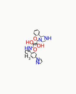 C[C@@H](NC(=O)[C@H](O)[C@@H](O)C(=O)N1CCNCC1c1ccccc1)c1ccc(-n2cccn2)cc1